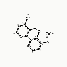 Cc1ccccc1[O-].Cc1ccccc1[O-].[Cu+2]